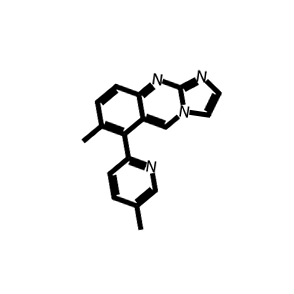 Cc1ccc(-c2c(C)ccc3nc4nccn4cc23)nc1